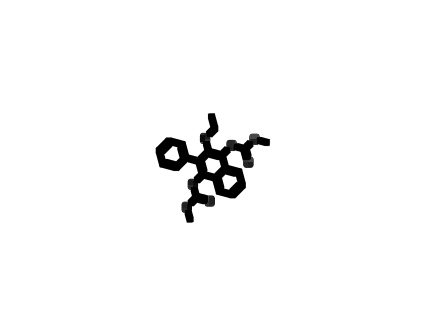 CCOc1c(-c2ccccc2)c(OC(=O)OC)c2ccccc2c1OC(=O)OC